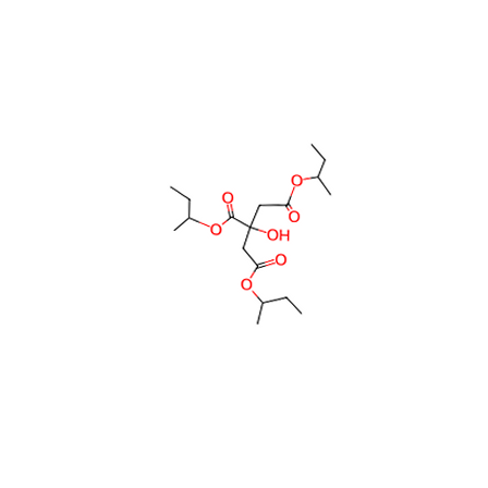 CCC(C)OC(=O)CC(O)(CC(=O)OC(C)CC)C(=O)OC(C)CC